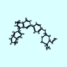 CN1CCN(Cc2ccc(-c3cnc4[nH]cc(-c5ccc6[nH]ccc6c5)c4c3)cc2)CC1C=O